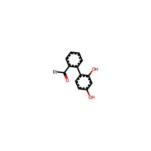 CCC(=O)c1ccccc1-c1ccc(O)cc1O